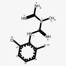 CN(C(=N)N)C(=N)Nc1c(F)cccc1Cl